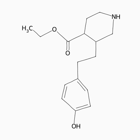 CCOC(=O)C1CCNCC1CCc1ccc(O)cc1